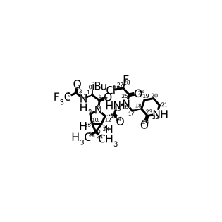 CC[C@H](C)[C@H](NC(=O)C(F)(F)F)C(=O)N1C[C@H]2[C@@H]([C@H]1C(=O)NN(C[C@H]1CCCNC1=O)C(=O)[C@H](F)Cl)C2(C)C